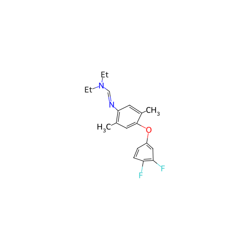 CCN(C=Nc1cc(C)c(Oc2ccc(F)c(F)c2)cc1C)CC